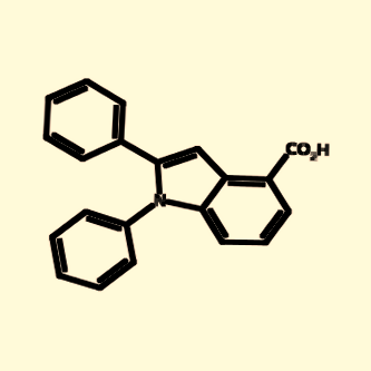 O=C(O)c1cccc2c1cc(-c1ccccc1)n2-c1ccccc1